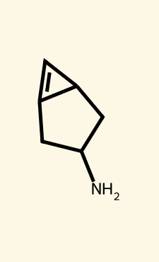 NC1CC2=CC2C1